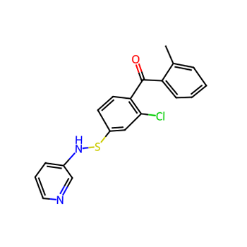 Cc1ccccc1C(=O)c1ccc(SNc2cccnc2)cc1Cl